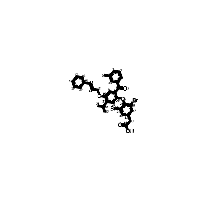 Cc1cccc(C(=O)c2cc(OC/C=C/c3ccccc3)c(C(C)C)cc2Oc2c(Br)cc(CC(=O)O)cc2Br)c1